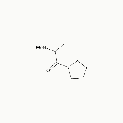 CNC(C)C(=O)C1CCCC1